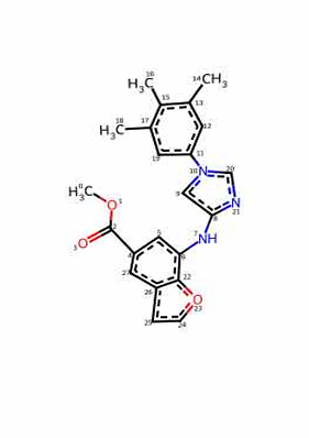 COC(=O)c1cc(Nc2cn(-c3cc(C)c(C)c(C)c3)cn2)c2occc2c1